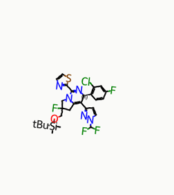 CC(C)(C)[Si](C)(C)OCC1(F)CC2=C(c3ccn(C(F)F)n3)[C@H](c3ccc(F)cc3Cl)N=C(c3nccs3)N2C1